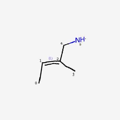 C/C=C(\C)C[NH]